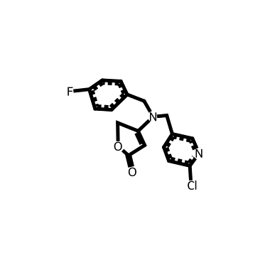 O=C1C=C(N(Cc2ccc(F)cc2)Cc2ccc(Cl)nc2)CO1